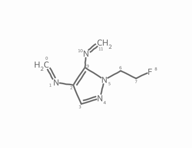 C=Nc1cnn(CCF)c1N=C